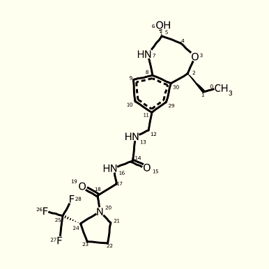 CC[C@@H]1OC[C@@H](O)Nc2ccc(CNC(=O)NCC(=O)N3CCC[C@@H]3C(F)(F)F)cc21